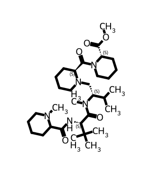 COC(=O)[C@@H]1CCCCN1C(=O)[C@@H]1CCCCN1C[C@H](C(C)C)N(C)C(=O)[C@@H](NC(=O)C1CCCCN1C)C(C)(C)C